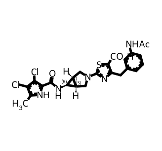 CC(=O)Nc1cccc(Cc2nc(N3C[C@@H]4[C@H](C3)[C@@H]4NC(=O)c3[nH]c(C)c(Cl)c3Cl)sc2C(=O)O)c1